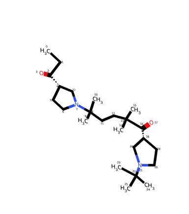 CCC(=O)[C@H]1CCN(C(C)(C)CCC(C)(C)C(=O)[C@@H]2CCN(C(C)(C)C)C2)C1